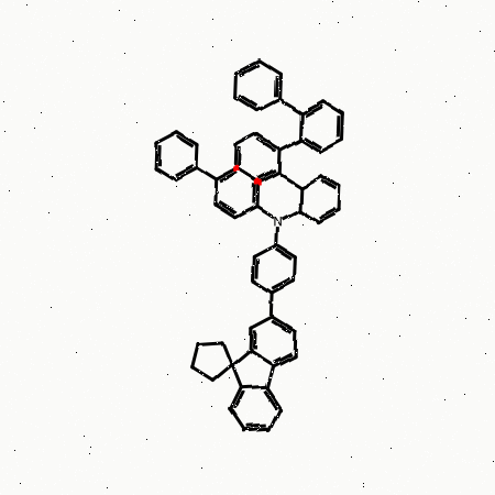 C1=CC(c2ccccc2-c2ccccc2-c2ccccc2)C(N(c2ccc(-c3ccccc3)cc2)c2ccc(-c3ccc4c(c3)C3(CCCC3)c3ccccc3-4)cc2)C=C1